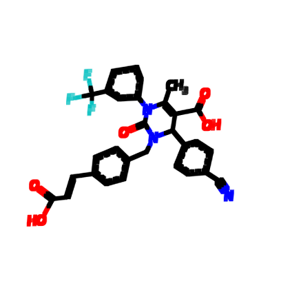 CC1=C(C(=O)O)C(c2ccc(C#N)cc2)N(Cc2ccc(/C=C/C(=O)O)cc2)C(=O)N1c1cccc(C(F)(F)F)c1